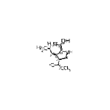 C=C/C=c1/c(C(=O)C(Cl)(Cl)Cl)c[nH]/c1=C(/N)O